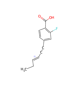 CC/C=C/CCc1ccc(C(=O)O)c(F)c1